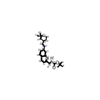 C[C@@H](NC(=O)OC(C)(C)C)c1ccc2ccc(/C=C/C3CCOC(C)(C)C3)cc2n1